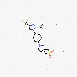 O=S1(=O)CC2(CCN(C3CCC(c4cc(C(F)(F)F)nn4C4CC4)CC3)C2)C1